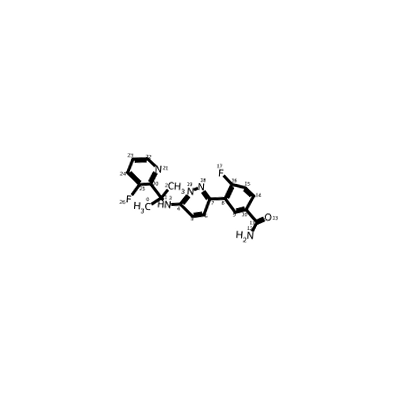 CC(C)(Nc1ccc(-c2cc(C(N)=O)ccc2F)nn1)c1ncccc1F